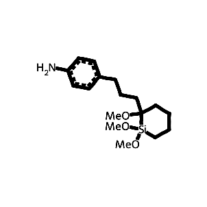 COC1(CCCc2ccc(N)cc2)CCCC[Si]1(OC)OC